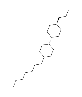 CCCCCCCC1CCC([C@H]2CC[C@H](CCC)CC2)CC1